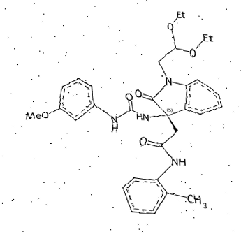 CCOC(CN1C(=O)[C@@](CC(=O)Nc2ccccc2C)(NC(=O)Nc2cccc(OC)c2)c2ccccc21)OCC